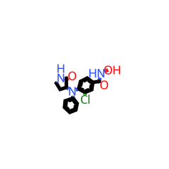 O=C(NO)c1ccc(N(c2ccccc2)C2CCNC2=O)c(Cl)c1